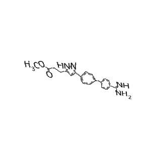 COC(=O)CCc1cc(-c2ccc(-c3ccc(C(=N)N)cc3)cc2)n[nH]1